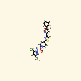 C[C@]1(c2ccccc2)CC(c2csc(C3CCN(C(=O)Cn4nc(C(F)(F)F)cc4Cl)CC3)n2)=NO1